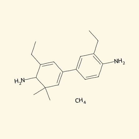 C.CCC1=CC(c2ccc(N)c(CC)c2)=CC(C)(C)C1N